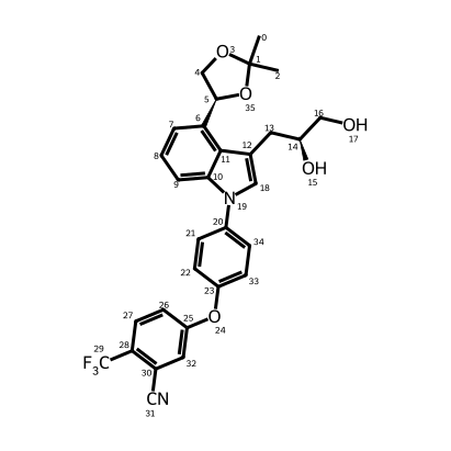 CC1(C)OC[C@H](c2cccc3c2c(C[C@H](O)CO)cn3-c2ccc(Oc3ccc(C(F)(F)F)c(C#N)c3)cc2)O1